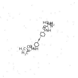 CC(C)N(C)CC(=O)Nc1ccc(C#Cc2ccc(C(=O)N[C@@H](CN)C(=O)NO)cc2)cc1